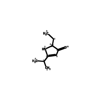 CCn1[nH]c(C(C)C)cc1=O